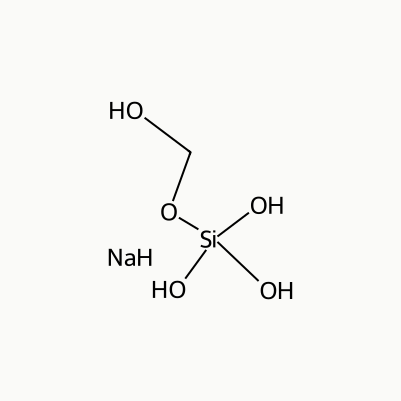 OCO[Si](O)(O)O.[NaH]